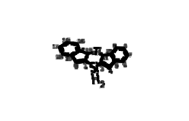 C1=C2[SiH2]C3=Cc4ccccc4[CH]3[Ti][CH]2c2ccccc21